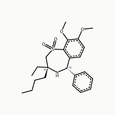 CCCC[C@@]1(CC)CS(=O)(=O)c2c(ccc(OC)c2OC)[C@H](c2ccccc2)N1